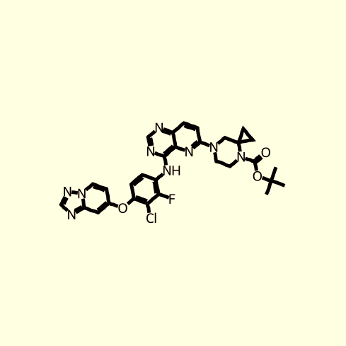 CC(C)(C)OC(=O)N1CCN(c2ccc3ncnc(Nc4ccc(Oc5ccn6ncnc6c5)c(Cl)c4F)c3n2)CC12CC2